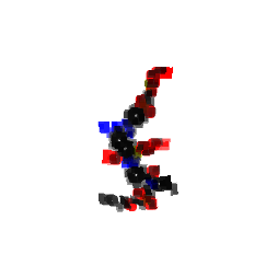 CN(CCS(=O)(=O)CCOS(=O)(=O)O)C(=O)c1cccc(/N=N/c2c(SOOO)cc3c(/N=N/c4ccc(S(=O)(=O)CCOSOOO)cc4)c(N)ccc3c2O)c1